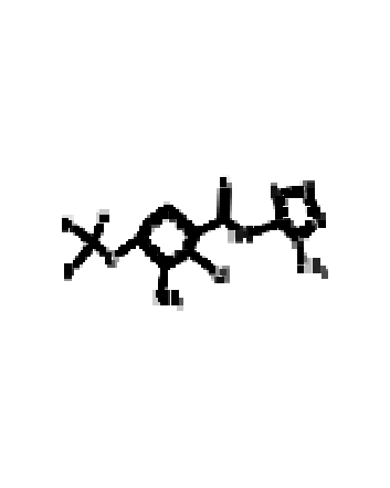 Cn1nnnc1NC(=S)c1ccc(OC(F)(F)F)c(N)c1Cl